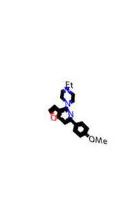 CCN1CCN(c2nc(-c3ccc(OC)cc3)cc3occc23)CC1